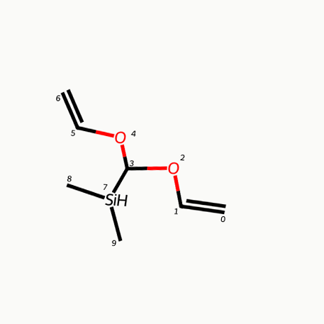 C=COC(OC=C)[SiH](C)C